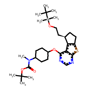 CN(C(=O)OC(C)(C)C)C1CCC(Oc2ncnc3sc4c(c23)[C@@H](CCO[Si](C)(C)C(C)(C)C)CC4)CC1